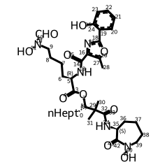 CCCCCCC[C@H](OC(=O)[C@@H](CCCCN(O)C=O)NC(=O)c1nc(-c2ccccc2O)oc1C)C(C)(C)C(=O)N[C@H]1CCCCN(O)C1=O